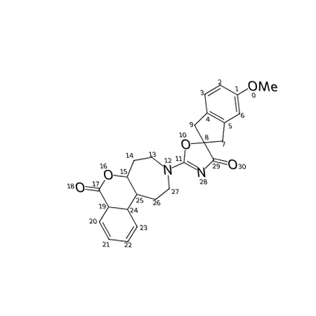 COc1ccc2c(c1)CC1(C2)OC(N2CCC3OC(=O)C4C=CC=CC4C3CC2)=NC1=O